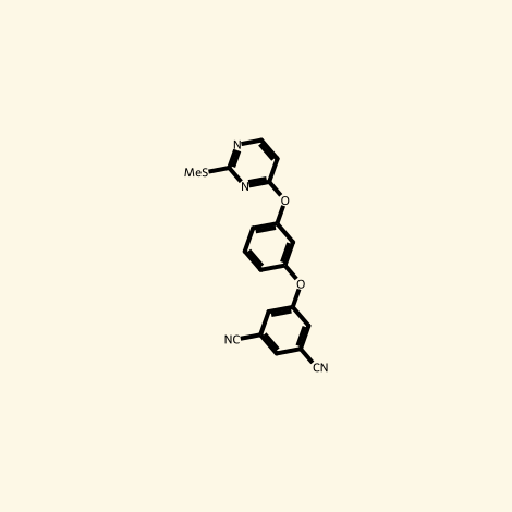 CSc1nccc(Oc2cccc(Oc3cc(C#N)cc(C#N)c3)c2)n1